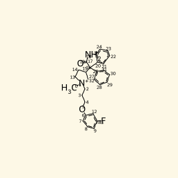 C[N@@+]1(CCCOc2cccc(F)c2)CCC(C(C(N)=O)(c2ccccc2)c2ccccc2)C1